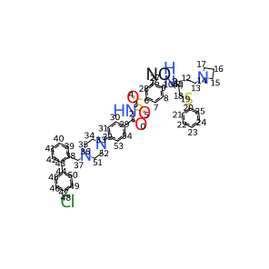 O=C(NS(=O)(=O)c1ccc(N[C@H](CCN2CCC2)CSc2ccccc2)c([N+](=O)[O-])c1)c1ccc(N2CCN(Cc3ccccc3-c3ccc(Cl)cc3)CC2)cc1